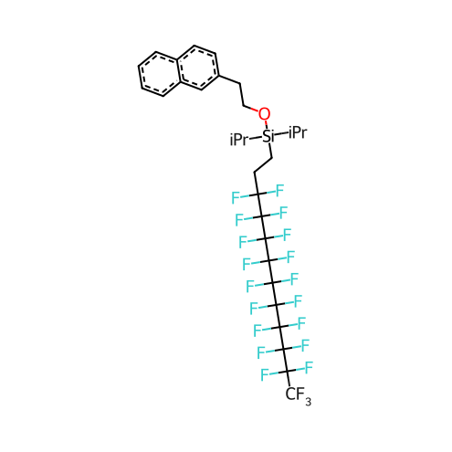 CC(C)[Si](CCC(F)(F)C(F)(F)C(F)(F)C(F)(F)C(F)(F)C(F)(F)C(F)(F)C(F)(F)C(F)(F)C(F)(F)F)(OCCc1ccc2ccccc2c1)C(C)C